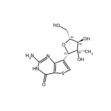 C[C@@]1(O)[C@H](O)[C@@H](CO)O[C@H]1c1csc2c(=O)[nH]c(N)nc12